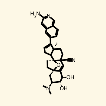 CN(C)[C@H]1C[C@@]23CC[C@]4(O2)C2CC=C(c5ccc6cnc(N)cc6c5)[C@@]2(C)CCC4(C#N)C=C3[C@@H](O)[C@@H]1O